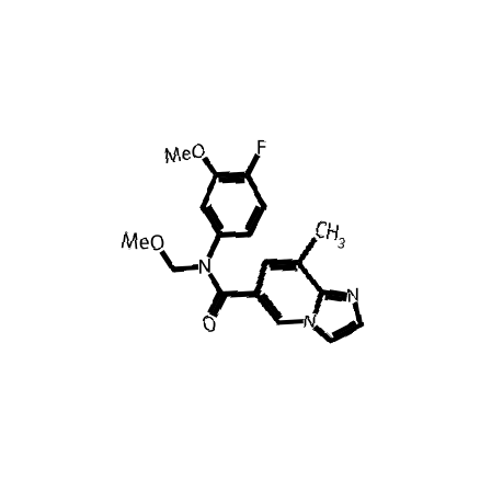 COCN(C(=O)c1cc(C)c2nccn2c1)c1ccc(F)c(OC)c1